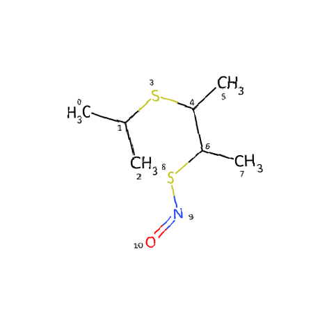 CC(C)SC(C)C(C)SN=O